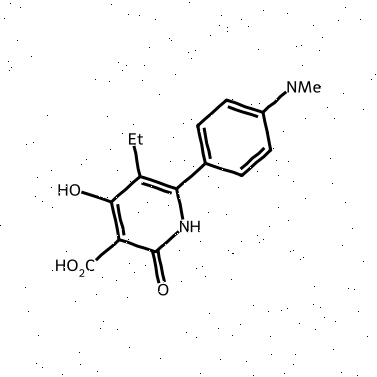 CCc1c(-c2ccc(NC)cc2)[nH]c(=O)c(C(=O)O)c1O